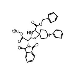 CC(C)(C)OC(=O)C(C1NC(C(=O)OCc2ccccc2)C2(CCN(c3ccccc3)CC2)S1)N1C(=O)c2ccccc2C1=O